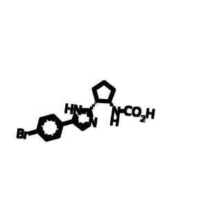 O=C(O)N[C@H]1CCC[C@H]1c1ncc(-c2ccc(Br)cc2)[nH]1